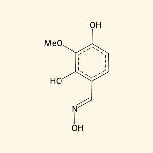 COc1c(O)ccc(C=NO)c1O